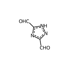 O=Cc1n[nH]c(C=O)n1